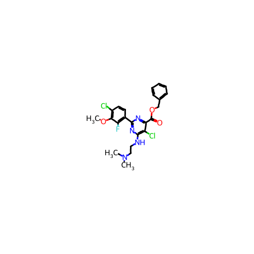 COc1c(Cl)ccc(-c2nc(NCCN(C)C)c(Cl)c(C(=O)OCc3ccccc3)n2)c1F